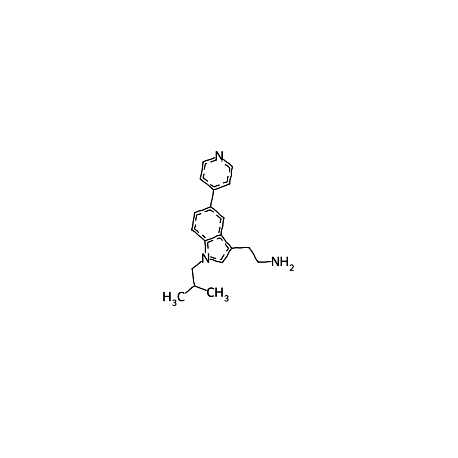 CC(C)Cn1cc(CCN)c2cc(-c3ccncc3)ccc21